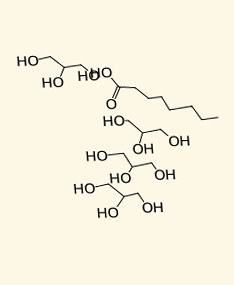 CCCCCCCC(=O)O.OCC(O)CO.OCC(O)CO.OCC(O)CO.OCC(O)CO